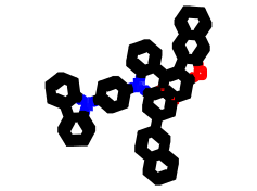 c1cc(-c2ccc3ccccc3c2)cc(N(c2ccc(-n3c4ccccc4c4ccccc43)cc2)c2ccccc2-c2cccc3oc4cc5ccccc5cc4c23)c1